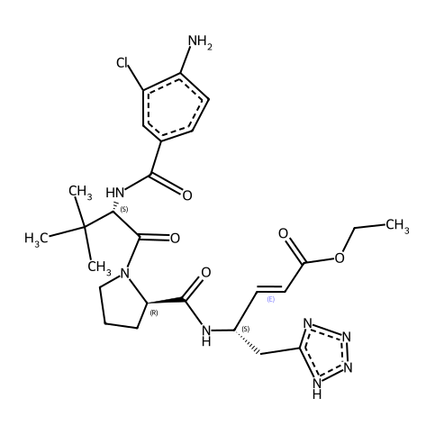 CCOC(=O)/C=C/[C@H](Cc1nnn[nH]1)NC(=O)[C@H]1CCCN1C(=O)[C@@H](NC(=O)c1ccc(N)c(Cl)c1)C(C)(C)C